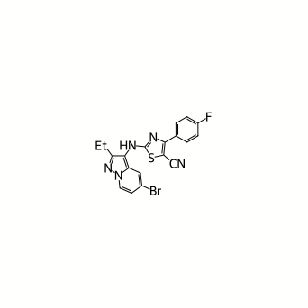 CCc1nn2ccc(Br)cc2c1Nc1nc(-c2ccc(F)cc2)c(C#N)s1